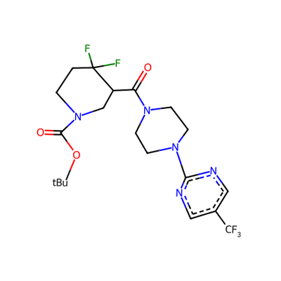 CC(C)(C)OC(=O)N1CCC(F)(F)C(C(=O)N2CCN(c3ncc(C(F)(F)F)cn3)CC2)C1